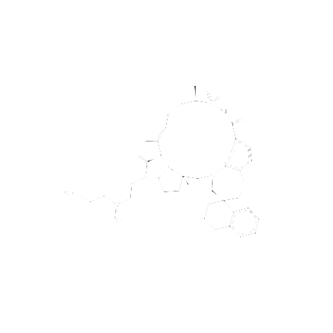 CCCN(CCOC)CCN(C)C(=O)[C@H]1/C(F)=C/C[C@H](C)[C@@H](C)S(=O)(=O)NC(=O)c2ccc3c(c2)N(C[C@@H]2CCCN21)C[C@@]1(CCCc2cc(Cl)ccc21)CO3